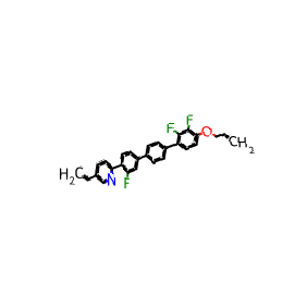 C=CCOc1ccc(-c2ccc(-c3ccc(-c4ccc(C=C)cn4)c(F)c3)cc2)c(F)c1F